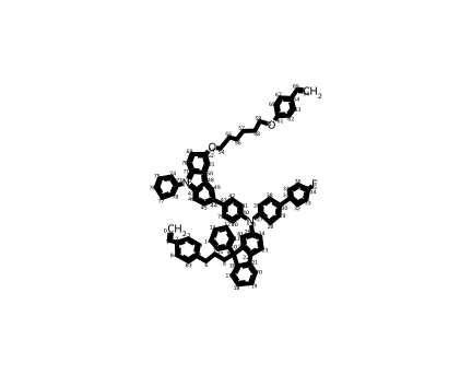 C=Cc1ccc(CCCC2(c3ccccc3)c3ccccc3-c3ccc(N(c4ccc(-c5ccc(F)cc5)cc4)c4ccc(-c5ccc6c(c5)c5cc(OCCCCCCOc7ccc(C=C)cc7)ccc5n6-c5ccccc5)cc4)cc32)cc1